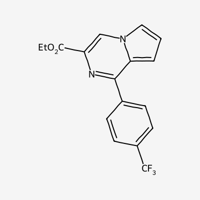 CCOC(=O)c1cn2cccc2c(-c2ccc(C(F)(F)F)cc2)n1